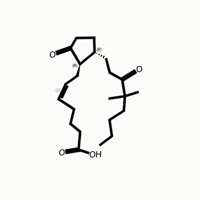 CCCCC(C)(C)C(=O)CC[C@H]1CCC(=O)[C@@H]1C/C=C\CCCC(=O)O